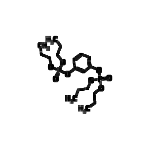 CCCOP(=O)(OCCC)Oc1cccc(OP(=O)(OCCC)OCCC)c1